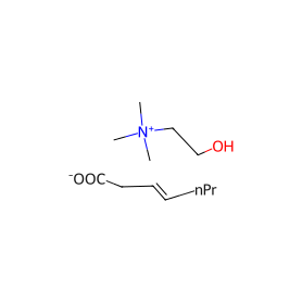 CCCC=CCC(=O)[O-].C[N+](C)(C)CCO